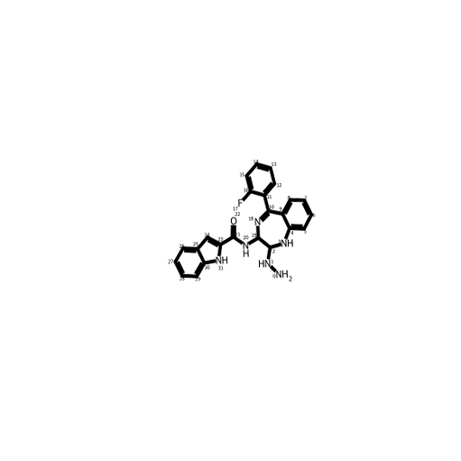 NNC1Nc2ccccc2C(c2ccccc2F)=NC1NC(=O)c1cc2ccccc2[nH]1